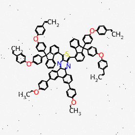 C=Cc1ccc(Oc2ccc(C3(c4ccc(Oc5ccc(C=C)cc5)cc4)c4ccccc4-c4c(-c5sc(-c6cccc7c6-c6ccccc6C7(c6ccc(Oc7ccc(C=C)cc7)cc6)c6ccc(Oc7ccc(C=C)cc7)cc6)c6nc7c8ccc(-c9ccc(OCC)cc9)cc8c8cc(-c9ccc(OCC)cc9)ccc8c7nc56)cccc43)cc2)cc1